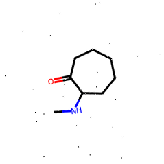 CNC1CCCCCC1=O